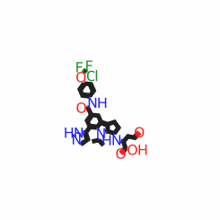 CC(C)N1C2=C(c3ccn[nH]3)C=C(C(=O)Nc3ccc(OC(F)(F)Cl)cc3)CC2=C2CCC(NC(CC=O)C(=O)O)C21